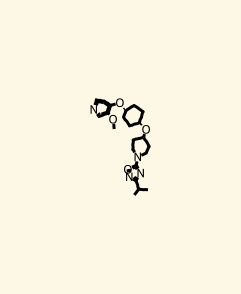 COc1cnccc1O[C@H]1CC[C@H](OC2CCN(c3nc(C(C)C)no3)CC2)CC1